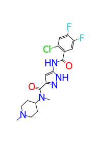 CN1CCC(N(C)C(=O)c2cc(NC(=O)c3cc(F)c(F)cc3Cl)[nH]n2)CC1